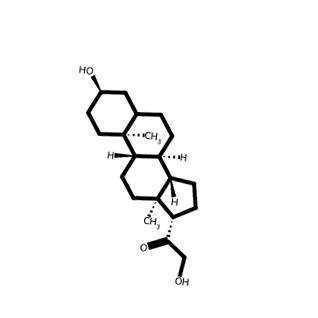 C[C@]12CC[C@H]3[C@@H](CCC4C[C@H](O)CC[C@@]43C)[C@@H]1CC[C@@H]2C(=O)CO